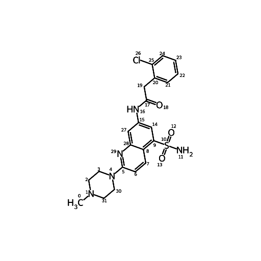 CN1CCN(c2ccc3c(S(N)(=O)=O)cc(NC(=O)Cc4ccccc4Cl)cc3n2)CC1